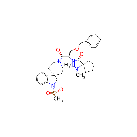 CN(C)C1(C(=O)N[C@H](COCc2ccccc2)C(=O)N2CCC3(CC2)CN(S(C)(=O)=O)c2ccccc23)CCCC1